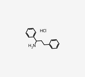 Cl.NC(CCc1ccccc1)c1ccccc1